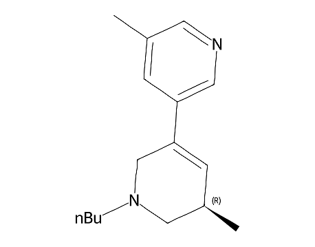 CCCCN1CC(c2cncc(C)c2)=C[C@@H](C)C1